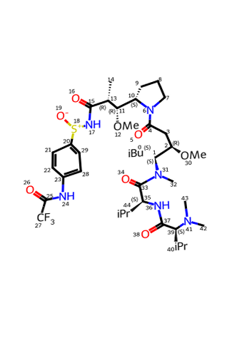 CC[C@H](C)[C@@H]([C@@H](CC(=O)N1CCC[C@H]1[C@H](OC)[C@@H](C)C(=O)N[S+]([O-])c1ccc(NC(=O)C(F)(F)F)cc1)OC)N(C)C(=O)[C@@H](NC(=O)[C@H](C(C)C)N(C)C)C(C)C